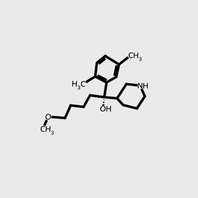 COCCCC[C@@](O)(c1cc(C)ccc1C)C1CCCNC1